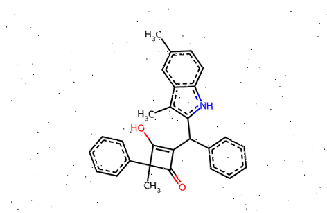 Cc1ccc2[nH]c(C(C3=C(O)C(C)(c4ccccc4)C3=O)c3ccccc3)c(C)c2c1